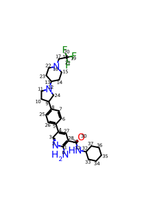 Nc1ncc(-c2ccc(C3CCN(C4CCN(CC(F)(F)F)CC4)C3)cc2)cc1C(=O)NC1CCCCC1